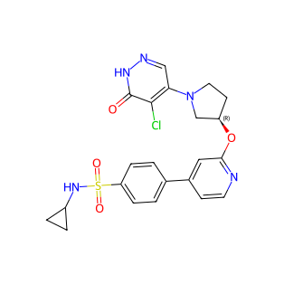 O=c1[nH]ncc(N2CC[C@@H](Oc3cc(-c4ccc(S(=O)(=O)NC5CC5)cc4)ccn3)C2)c1Cl